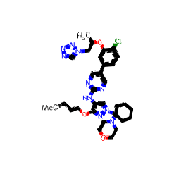 COCCCOc1nn(C2(N3CCOCC3)CCCCC2)cc1Nc1ncc(-c2ccc(Cl)c(OC(C)Cn3cnnn3)c2)cn1